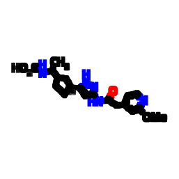 COc1cc(CC(=O)Nc2cc([C@H]3CCC(C(C)NC(=O)O)C3)[nH]n2)ccn1